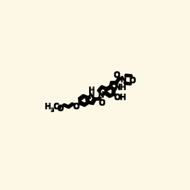 COCCCOc1ccc2[nH]c(C(=O)N3CCc4c3cc(O)c3[nH]c(C(=O)N5CCOCC5)cc43)cc2c1